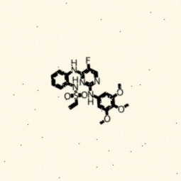 C=CS(=O)(=O)Nc1ccccc1Nc1nc(Nc2cc(OC)c(OC)c(OC)c2)ncc1F